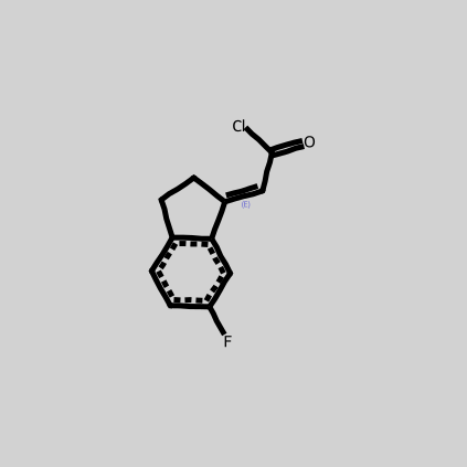 O=C(Cl)/C=C1\CCc2ccc(F)cc21